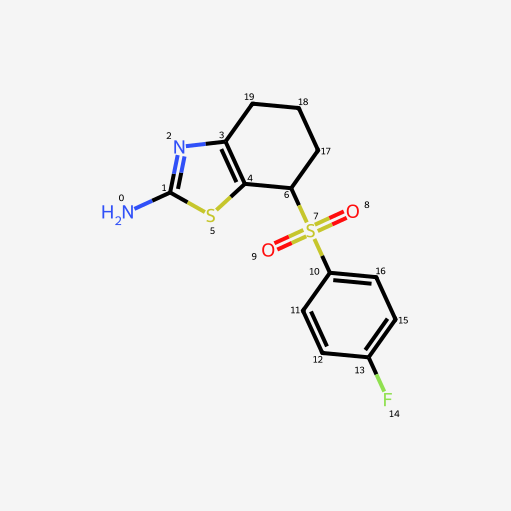 Nc1nc2c(s1)C(S(=O)(=O)c1ccc(F)cc1)CCC2